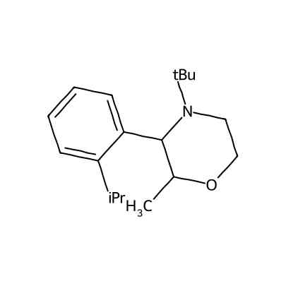 CC(C)c1ccccc1C1C(C)OCCN1C(C)(C)C